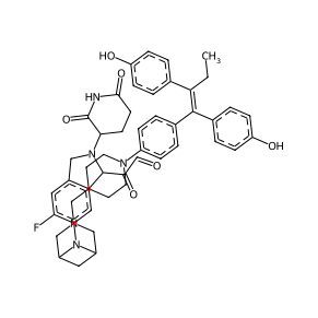 CCC(=C(c1ccc(O)cc1)c1ccc(N2CCC(CN3CC4CC(C3)N4c3cc4c(cc3F)CN(C3CCC(=O)NC3=O)C4C(=O)C=O)CC2)cc1)c1ccc(O)cc1